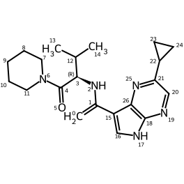 C=C(N[C@@H](C(=O)N1CCCCC1)C(C)C)c1c[nH]c2ncc(C3CC3)nc12